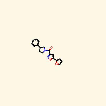 O=C(c1cc(-c2ccco2)on1)N1CCC(c2ccccc2)C1